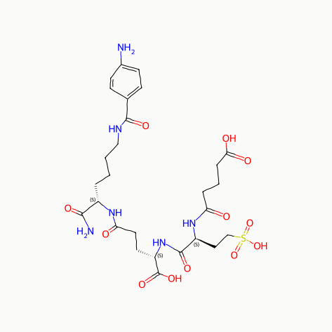 NC(=O)[C@H](CCCCNC(=O)c1ccc(N)cc1)NC(=O)CC[C@H](NC(=O)[C@H](CCS(=O)(=O)O)NC(=O)CCCC(=O)O)C(=O)O